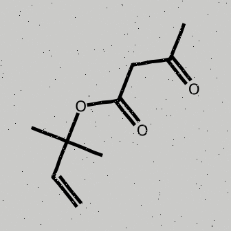 C=CC(C)(C)OC(=O)CC(C)=O